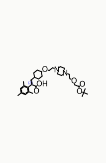 Cc1cc(C)c(/C(=C/C2CCC(OCCN3CCN(CCOCC(=O)OC(C)(C)C)CC3)CC2)C(=O)O)c(C)c1